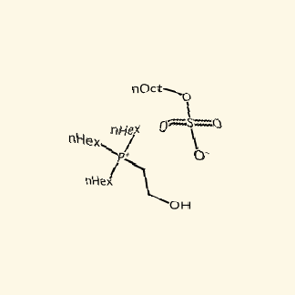 CCCCCCCCOS(=O)(=O)[O-].CCCCCC[P+](CCO)(CCCCCC)CCCCCC